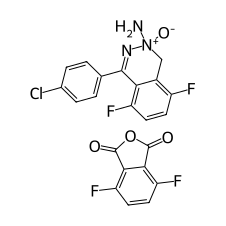 N[N+]1([O-])Cc2c(F)ccc(F)c2C(c2ccc(Cl)cc2)=N1.O=C1OC(=O)c2c(F)ccc(F)c21